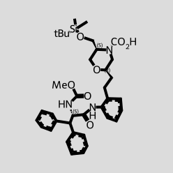 COC(=O)N[C@H](C(=O)Nc1ccccc1CC[C@@H]1CN(C(=O)O)[C@H](CO[Si](C)(C)C(C)(C)C)CO1)C(c1ccccc1)c1ccccc1